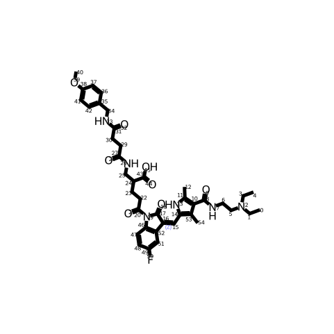 CCN(CC)CCNC(=O)c1c(C)[nH]c(/C=C2\C(=O)N(C(=O)CCC(CNC(=O)CCC(=O)NCc3ccc(OC)cc3)C(=O)O)c3ccc(F)cc32)c1C